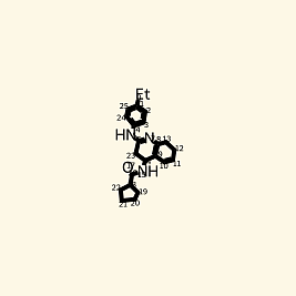 CCc1ccc(NC2=NC3=C(C=CCC3)C(NC(=O)C3CCCC3)C2)cc1